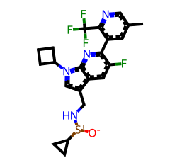 Cc1cnc(C(F)(F)F)c(-c2nc3c(cc2F)c(CN[S+]([O-])C2CC2)cn3C2CCC2)c1